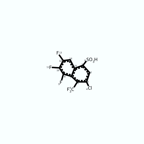 O=S(=O)(O)c1cc(Cl)c(C(F)(F)F)c2c(F)c(F)c(F)cc12